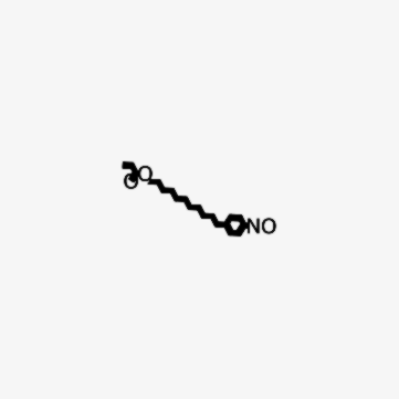 C=CC(=O)OCCCCCCCCCCCc1ccc(N=O)cc1